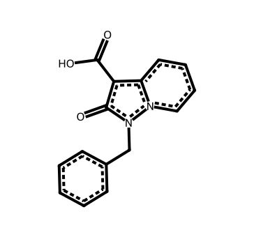 O=C(O)c1c(=O)n(Cc2ccccc2)n2ccccc12